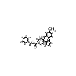 Cc1ccc2c(c1)NC1(CCN(C(=O)OCc3ccccc3)CC1)c1cccn1-2